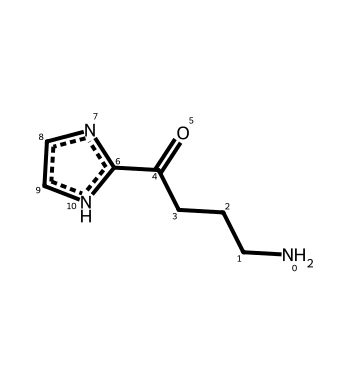 NCCCC(=O)c1ncc[nH]1